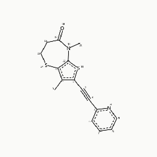 Cc1c(C#Cc2ccccn2)sc2c1SCCC(=O)N2C